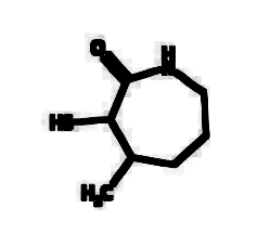 CC1CCCNC(=O)C1S